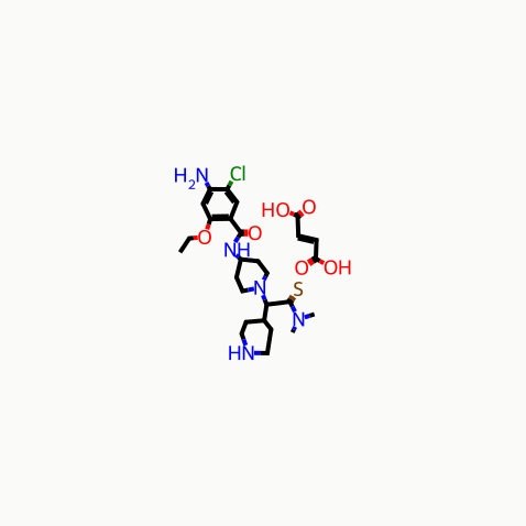 CCOc1cc(N)c(Cl)cc1C(=O)NC1CCN(C(C(=S)N(C)C)C2CCNCC2)CC1.O=C(O)C=CC(=O)O